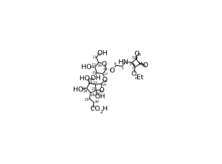 CCOc1c(NCCO[C@H]2OC(CO)[C@@H](O)C(O)C2O[C@H]2OC3(O)C2C(O)[C@H](O)C3CCC(=O)O)c(=O)c1=O